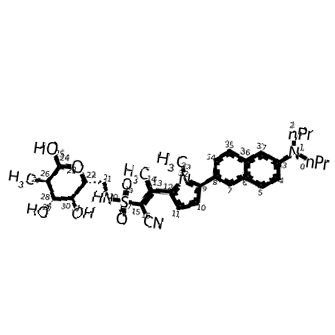 CCCN(CCC)c1ccc2cc(-c3ccc(/C(C)=C(\C#N)S(=O)(=O)NC[C@H]4OC(O)[C@H](C)[C@@H](O)[C@@H]4O)n3C)ccc2c1